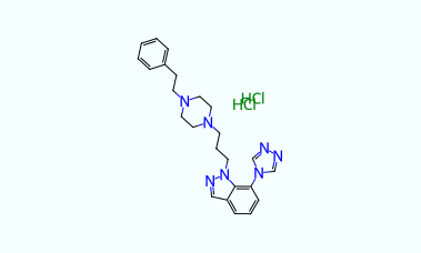 Cl.Cl.c1ccc(CCN2CCN(CCCn3ncc4cccc(-n5cnnc5)c43)CC2)cc1